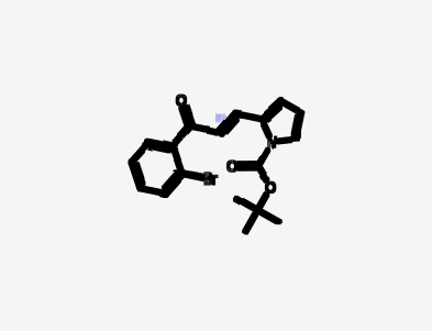 CC(C)(C)OC(=O)n1cccc1/C=C/C(=O)c1ccccc1Br